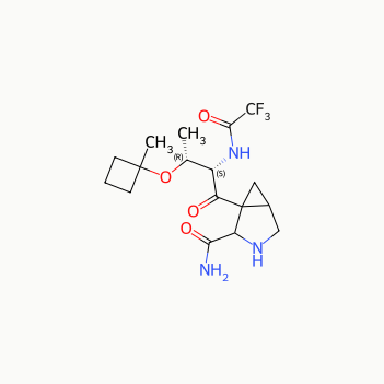 C[C@@H](OC1(C)CCC1)[C@H](NC(=O)C(F)(F)F)C(=O)C12CC1CNC2C(N)=O